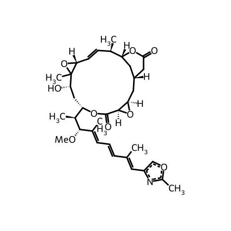 CO[C@@H](/C(C)=C/C=C/C(C)=C/c1coc(C)n1)[C@@H](C)[C@@H]1C[C@H](O)C2(C)O[C@@H]2/C=C/[C@@H](C)[C@H]2C[C@H](CC(=O)O2)C[C@H]2O[C@H]2C(=O)O1